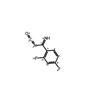 N=C(N=C=O)c1ccc(F)[c]c1F